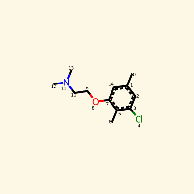 Cc1cc(Cl)c(C)c(OCCN(C)C)c1